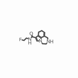 O=C(NCCF)c1cn2c3c1CCC=C3CNCC2